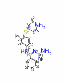 C=C/C=C(\C=C/N)Sc1ccc(Nc2nc(N)nc3c2CCCC3)cc1F